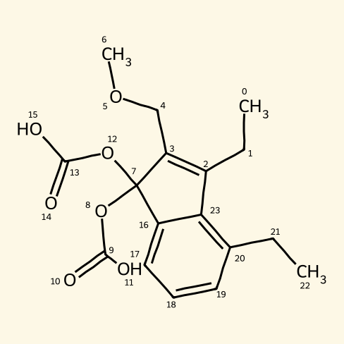 CCC1=C(COC)C(OC(=O)O)(OC(=O)O)c2cccc(CC)c21